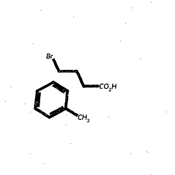 Cc1ccccc1.O=C(O)CCCBr